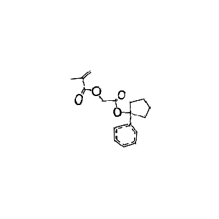 C=C(C)C(=O)OCC(=O)OC1(c2ccccc2)CCCC1